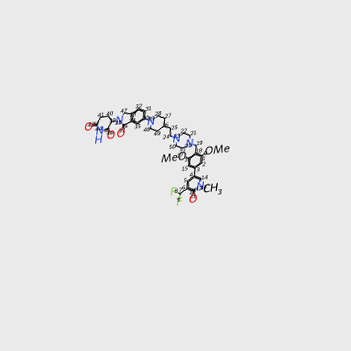 COc1cc(-c2cc(C(F)F)c(=O)n(C)c2)cc(OC)c1CN1CCN(CCC2CCN(c3ccc4c(c3)C(=O)N(C3CCC(=O)NC3=O)C4)CC2)CC1